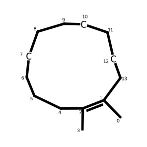 CC1=C(C)CCCCCCCCCC1